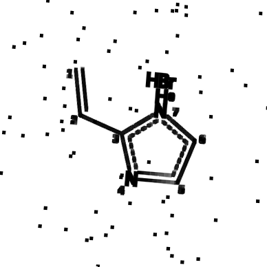 Br.C=Cc1ncc[nH]1